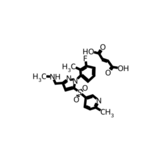 CNCc1cc(S(=O)(=O)c2ccc(C)nc2)n(-c2cccc(F)c2C)n1.O=C(O)C=CC(=O)O